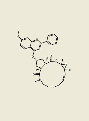 COc1ccc2c(O[C@@H]3C[C@H]4C(=O)N[C@]5(C)C[C@H]5/C=C\CCCCN(C)C(=O)[C@@H]4C3)cc(-c3ccccc3)nc2c1